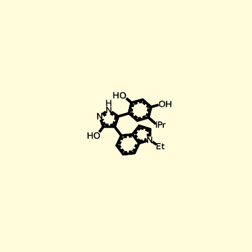 CCn1ccc2c(-c3c(O)n[nH]c3-c3cc(C(C)C)c(O)cc3O)cccc21